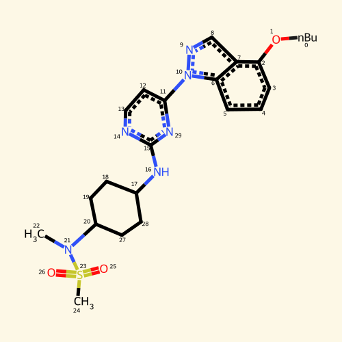 CCCCOc1cccc2c1cnn2-c1ccnc(NC2CCC(N(C)S(C)(=O)=O)CC2)n1